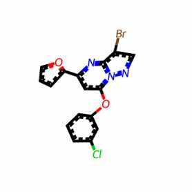 Clc1cccc(Oc2cc(-c3ccco3)nc3c(Br)cnn23)c1